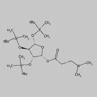 CN(C)CCC(=O)O[C@H]1O[C@@H](O[Si](C)(C)C(C)(C)C)[C@H](O[Si](C)(C)C(C)(C)C)[C@H]1O[Si](C)(C)C(C)(C)C